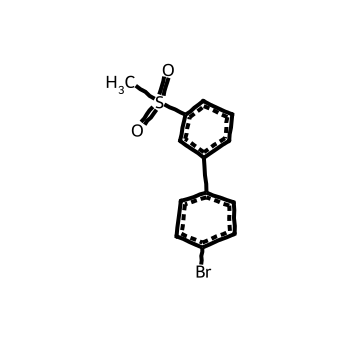 CS(=O)(=O)c1cccc(-c2ccc(Br)cc2)c1